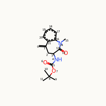 C=C1CC(NC(=O)OC(C)(C)C)C(=O)N(C)c2ccccc21